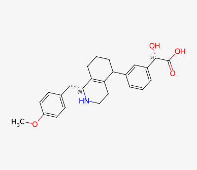 COc1ccc(C[C@H]2NCCC3=C2CCCC3c2cccc([C@H](O)C(=O)O)c2)cc1